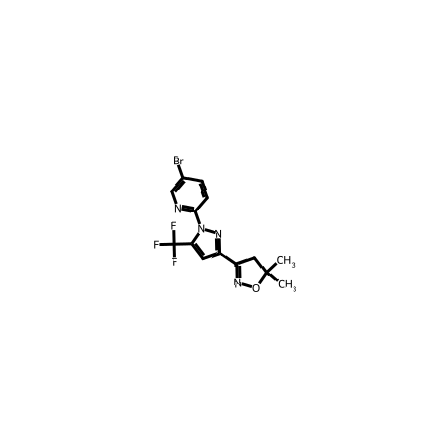 CC1(C)CC(c2cc(C(F)(F)F)n(-c3ccc(Br)cn3)n2)=NO1